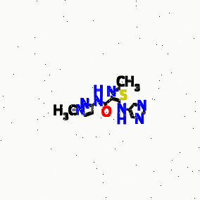 Cc1nc(C(=O)Nc2ccn(C)n2)c(Nc2cncnc2)s1